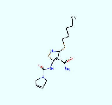 CCCCCSc1nsc(NC(=O)N2CC=CC2)c1C(N)=O